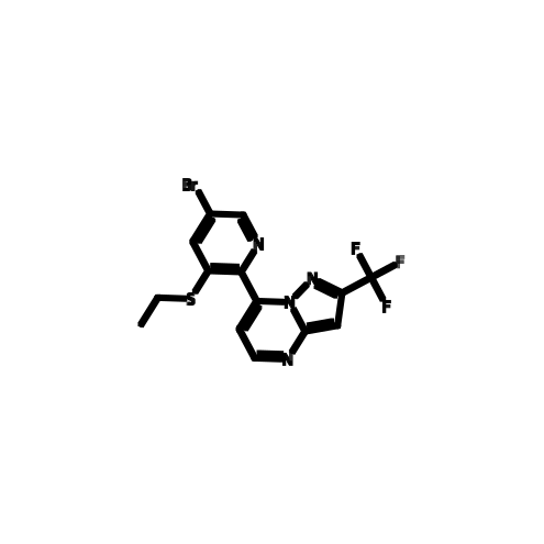 CCSc1cc(Br)cnc1-c1ccnc2cc(C(F)(F)F)nn12